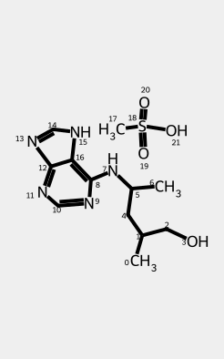 CC(CO)CC(C)Nc1ncnc2nc[nH]c12.CS(=O)(=O)O